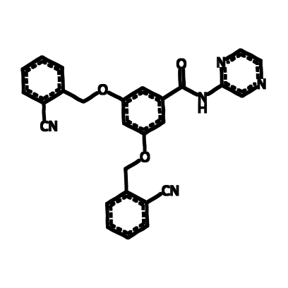 N#Cc1ccccc1COc1cc(OCc2ccccc2C#N)cc(C(=O)Nc2cnccn2)c1